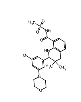 CC1(C)Cc2cccc(C(=O)NS(C)(=O)=O)c2NC1c1cc(Cl)cc(N2CCOCC2)c1